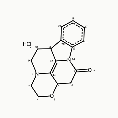 Cl.O=C1CC2OCCN3CCC4C(=C23)N1c1ccccc14